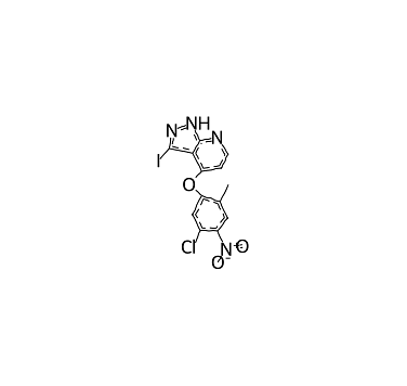 Cc1cc([N+](=O)[O-])c(Cl)cc1Oc1ccnc2[nH]nc(I)c12